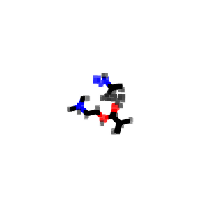 C=C(C)C(=O)OCCN(C)C.C=C(N)C(=O)O